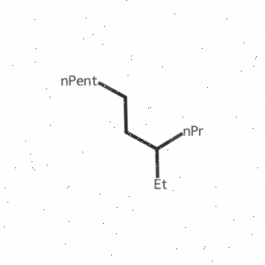 [CH2]CCCCCCC(CC)CCC